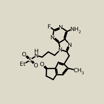 CCS(=O)(=O)NCCCn1c(Cc2cc3c(cc2C)CCC3=O)nc2c(N)nc(F)nc21